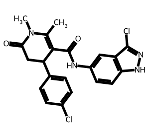 CC1=C(C(=O)Nc2ccc3[nH]nc(Cl)c3c2)C(c2ccc(Cl)cc2)CC(=O)N1C